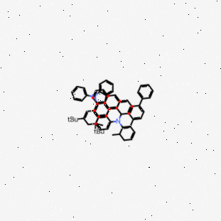 CC1CC=CC(c2ccc(-c3ccccc3)cc2)=C1N(c1ccccc1-c1cccc2cccc(C3=CC(C)(C(C)(C)C)CC(C(C)(C)C)=C3)c12)C1C=CC=CC1c1cccc2c1c1ccccc1n2-c1ccccc1